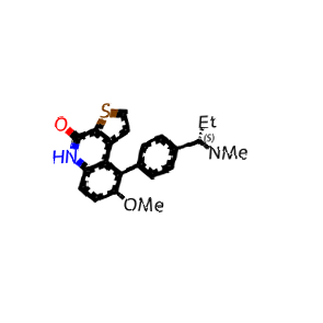 CC[C@H](NC)c1ccc(-c2c(OC)ccc3[nH]c(=O)c4sccc4c23)cc1